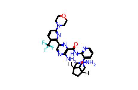 NCC1[C@@H]2CC[C@H]1CN(c1cccnc1NC(=O)c1nc(-c3nc(N4CCOCC4)ccc3C(F)(F)F)cnc1N)C2